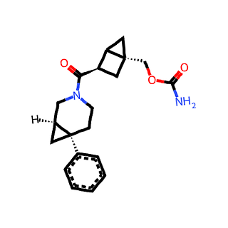 NC(=O)OC[C@@]12CC1[C@H](C(=O)N1CC[C@@]3(c4ccccc4)C[C@H]3C1)C2